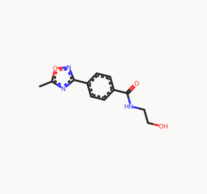 Cc1nc(-c2ccc(C(=O)NCCO)cc2)no1